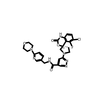 O=C1Nc2ccc(Cl)c(F)c2[C@]2(CCN(c3cc(C(=O)NCc4ccc(N5CCOCC5)nc4)cnn3)C2)O1